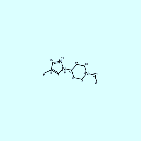 CSN1CCC(n2cc(C)cn2)CC1